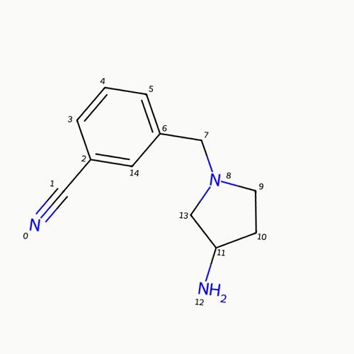 N#Cc1cccc(CN2CCC(N)C2)c1